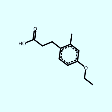 CCOc1ccc(CCC(=O)O)c(C)c1